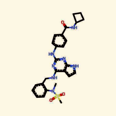 CN(c1ccccc1CNc1nc(Nc2ccc(C(=O)NC3CCC3)cc2)nc2[nH]ccc12)S(C)(=O)=O